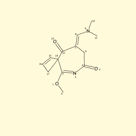 COC1=NC(=O)CC(=CN(C)C)C(=O)C12C=CC2